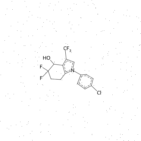 OC1c2c(C(F)(F)F)cn(-c3ccc(Cl)cc3)c2CCC1(F)F